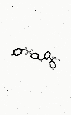 COC1(c2cccc(Sc3ccc(S(=O)(=O)Nc4ccc(F)cc4)cc3)c2)CCOCC1